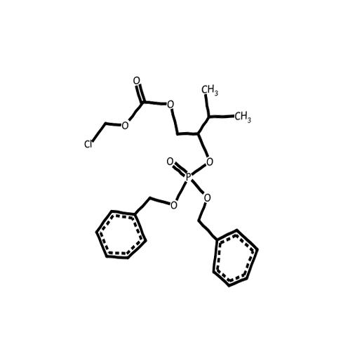 CC(C)C(COC(=O)OCCl)OP(=O)(OCc1ccccc1)OCc1ccccc1